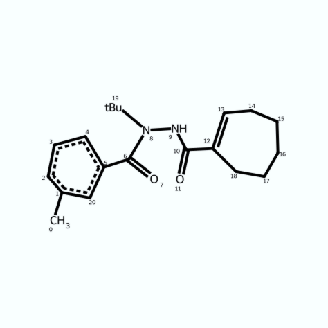 Cc1cccc(C(=O)N(NC(=O)C2=CCCCCC2)C(C)(C)C)c1